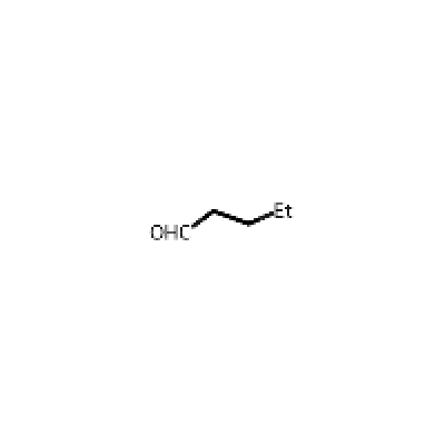 [CH2]CCCC=O